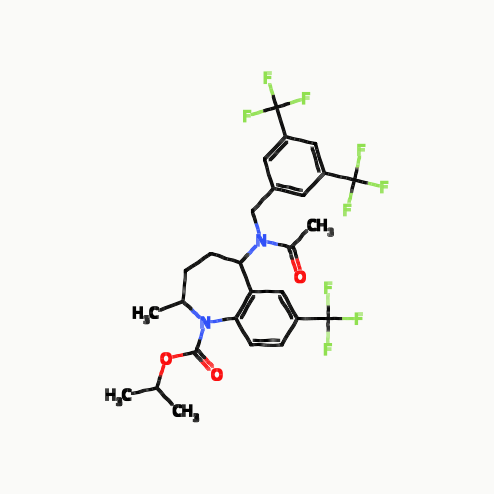 CC(=O)N(Cc1cc(C(F)(F)F)cc(C(F)(F)F)c1)C1CCC(C)N(C(=O)OC(C)C)c2ccc(C(F)(F)F)cc21